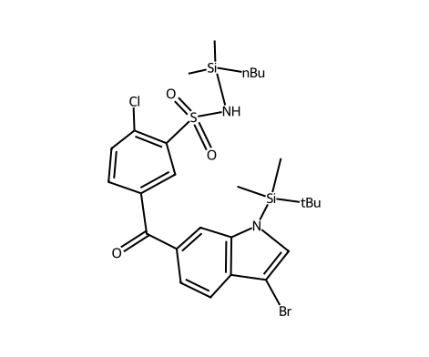 CCCC[Si](C)(C)NS(=O)(=O)c1cc(C(=O)c2ccc3c(Br)cn([Si](C)(C)C(C)(C)C)c3c2)ccc1Cl